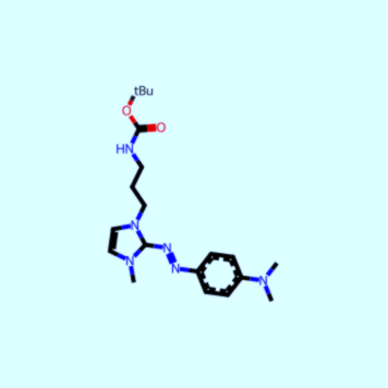 CN(C)c1ccc(/N=N/C2N(C)C=CN2CCCNC(=O)OC(C)(C)C)cc1